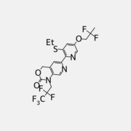 CCSc1cc(OCC(C)(F)F)cnc1-c1cc2c(cn1)N(CC(F)(F)C(F)(F)F)C(=O)OC2